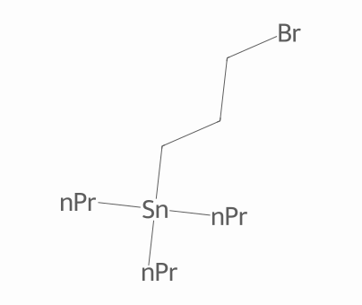 CC[CH2][Sn]([CH2]CC)([CH2]CC)[CH2]CCBr